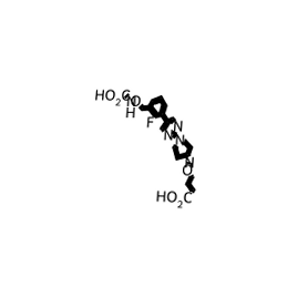 O=C(O)CCCON=C1CCN(c2ncc(-c3cccc(CONC(=O)O)c3F)cn2)CC1